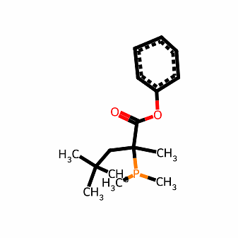 CP(C)C(C)(CC(C)(C)C)C(=O)Oc1ccccc1